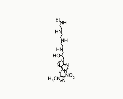 CCNCCNCCNCCNCC(O)Cn1cnc2c(Sc3c([N+](=O)[O-])ncn3C)ncnc21